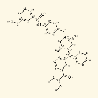 CCN(CC)C(=O)c1cccc([C@H](c2ccccc2)N2C[C@@H](C)N(Cc3ccc(OC(=O)c4cccc(C=O)c4)cc3)C[C@@H]2C)c1